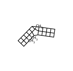 CC12C3C4CC5CC(C6C7C8C9C%10CC%11CC%12C%13C%14C%15C%16C%17C3C1(C)C%176C%16(C)C%157C%148C%139C%11%12%10)C542